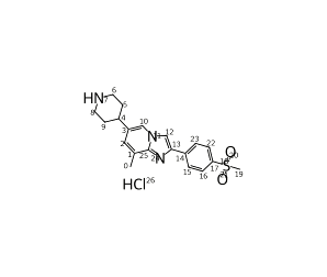 Cc1cc(C2CCNCC2)cn2cc(-c3ccc(S(C)(=O)=O)cc3)nc12.Cl